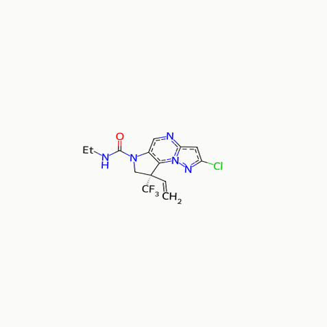 C=C[C@@]1(C(F)(F)F)CN(C(=O)NCC)c2cnc3cc(Cl)nn3c21